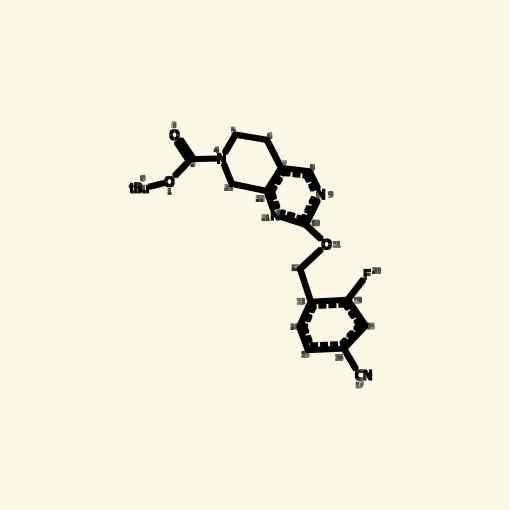 CC(C)(C)OC(=O)N1CCc2cnc(OCc3ccc(C#N)cc3F)nc2C1